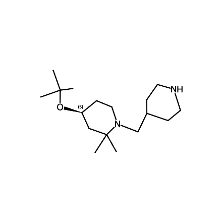 CC(C)(C)O[C@H]1CCN(CC2CCNCC2)C(C)(C)C1